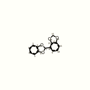 c1ccc2c(c1)OC(c1cccc3c1OCO3)O2